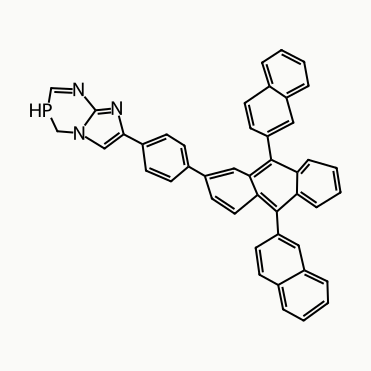 C1=Nc2nc(-c3ccc(-c4ccc5c(-c6ccc7ccccc7c6)c6ccccc6c(-c6ccc7ccccc7c6)c5c4)cc3)cn2CP1